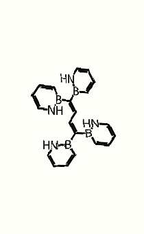 C1=CNB(C(=CC=C(B2C=CC=CN2)B2C=CC=CN2)B2C=CC=CN2)C=C1